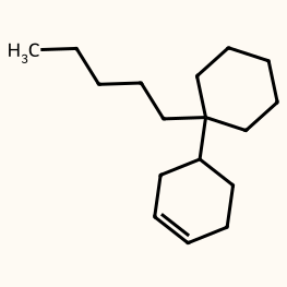 CCCCCC1(C2CC=CCC2)CCCCC1